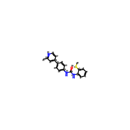 CSc1ccccc1NC(=O)Nc1ccc(-c2ccnc(C)c2)cc1